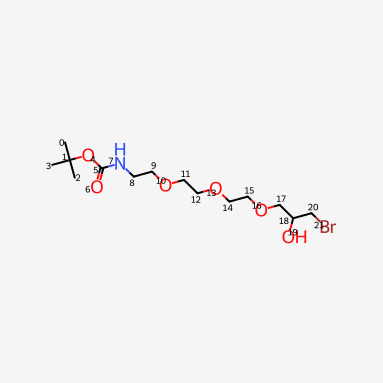 CC(C)(C)OC(=O)NCCOCCOCCOCC(O)CBr